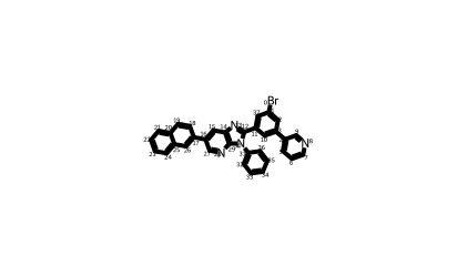 Brc1cc(-c2cccnc2)cc(-c2nc3cc(-c4ccc5ccccc5c4)cnc3n2-c2ccccc2)c1